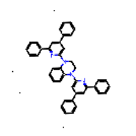 c1ccc(-c2cc(-c3ccccc3)nc(N3CCN(c4cc(-c5ccccc5)cc(-c5ccccc5)n4)c4ccccc43)c2)cc1